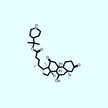 C[C@H](CCC(=O)OC(C)(C)C1CCNCC1)[C@H]1CC[C@H]2[C@@H]3C(O)C[C@@H]4CC(=O)CC[C@]4(C)[C@H]3CC(=O)[C@]12C